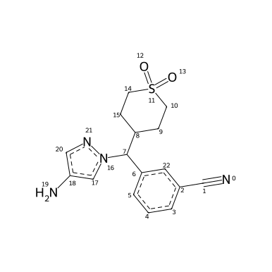 N#Cc1cccc(C(C2CCS(=O)(=O)CC2)n2cc(N)cn2)c1